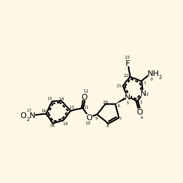 Nc1nc(=O)n([C@H]2C=CC(OC(=O)c3ccc([N+](=O)[O-])cc3)C2)cc1F